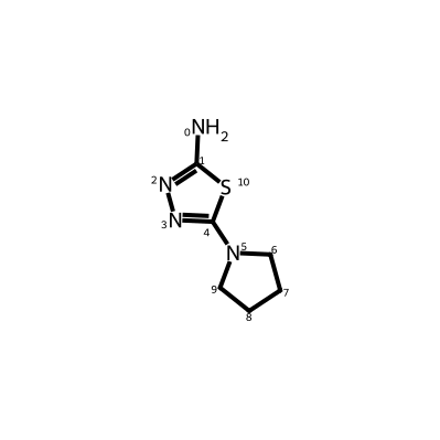 Nc1nnc(N2CCCC2)s1